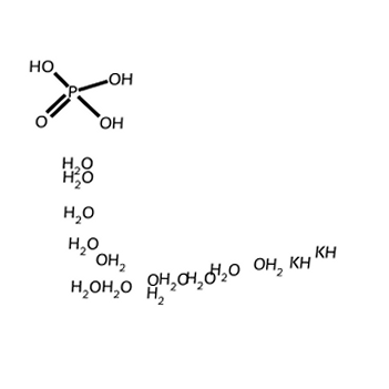 O.O.O.O.O.O.O.O.O.O.O.O.O=P(O)(O)O.[KH].[KH]